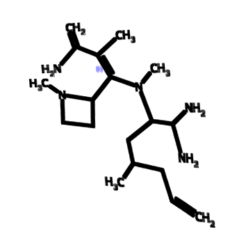 C=CCC(C)CC(C(N)N)N(C)/C(=C(\C)C(=C)N)C1CCN1C